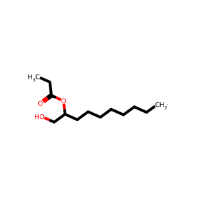 [CH2]CCCCCCCC(CO)OC(=O)CC